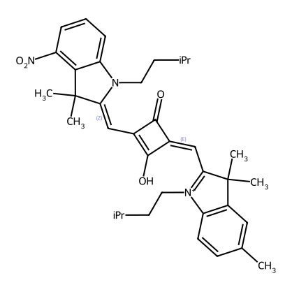 Cc1ccc2c(c1)C(C)(C)C(/C=C1/C(=O)C(/C=C3\N(CCC(C)C)c4cccc([N+](=O)[O-])c4C3(C)C)=C1O)=[N+]2CCC(C)C